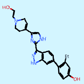 CCc1cc(O)ccc1-c1ccc2c(-c3nc(C4=CCN(CCO)CC4)c[nH]3)n[nH]c2c1